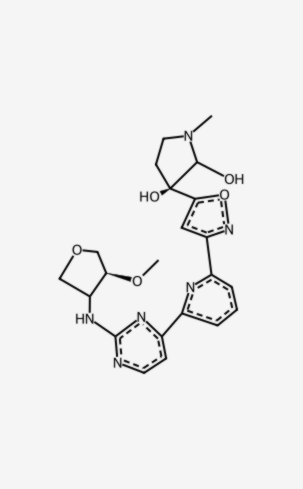 CO[C@@H]1COCC1Nc1nccc(-c2cccc(-c3cc([C@]4(O)CCN(C)C4O)on3)n2)n1